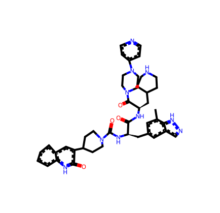 Cc1cc(C[C@@H](NC(=O)N2CCC(c3cc4ccccc4[nH]c3=O)CC2)C(=O)N[C@H](CC2CCNCC2)C(=O)N2CCN(c3ccncc3)CC2)cc2cn[nH]c12